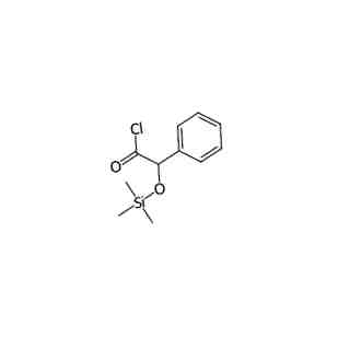 C[Si](C)(C)OC(C(=O)Cl)c1ccccc1